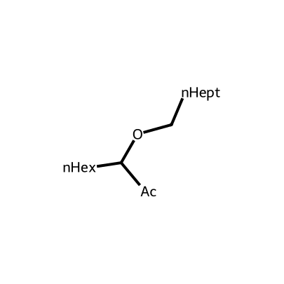 CCCCCCCCOC(CCCCCC)C(C)=O